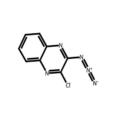 [N-]=[N+]=Nc1nc2ccccc2nc1Cl